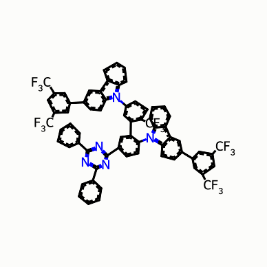 FC(F)(F)c1cc(-c2ccc3c(c2)c2ccccc2n3-c2ccc(C(F)(F)F)c(-c3cc(-c4nc(-c5ccccc5)nc(-c5ccccc5)n4)ccc3-n3c4ccccc4c4cc(-c5cc(C(F)(F)F)cc(C(F)(F)F)c5)ccc43)c2)cc(C(F)(F)F)c1